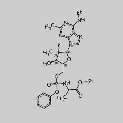 CCNc1nc(C)nc2c1ncn2[C@@H]1O[C@H](COP(=O)(NC(C)C(=O)OC(C)C)Oc2ccccc2)[C@@H](O)[C@@]1(C)F